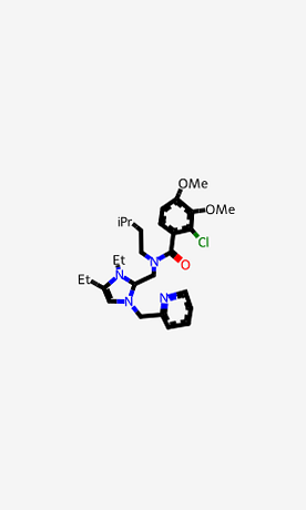 CCC1=CN(Cc2ccccn2)C(CN(CCC(C)C)C(=O)c2ccc(OC)c(OC)c2Cl)N1CC